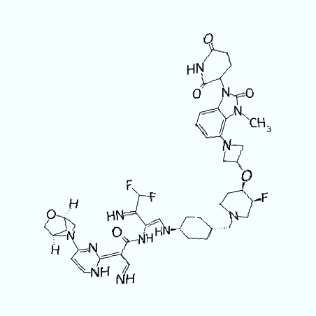 Cn1c(=O)n(C2CCC(=O)NC2=O)c2cccc(N3CC(O[C@@H]4CCN(C[C@H]5CC[C@H](N/C=C(\NC(=O)/C(C=N)=C6\N=C(N7C[C@H]8C[C@@H]7CO8)C=CN6)C(=N)C(F)F)CC5)C[C@@H]4F)C3)c21